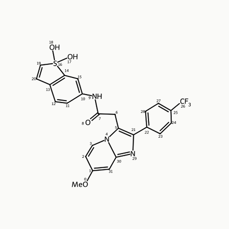 COc1ccn2c(CC(=O)Nc3ccc4c(c3)S(O)(O)C=C4)c(-c3ccc(C(F)(F)F)cc3)nc2c1